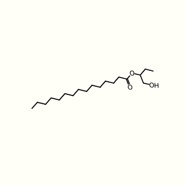 CCCCCCCCCCCCCCC(=O)OC(CC)CO